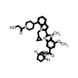 COc1cc(C(=O)N2C[C@H]3CC[C@@H]2[C@@H]3N)cc2nc(-c3cc4cccc(C5CCN(C(=O)CO)CC5)c4n3CC3CC3)n(C)c12